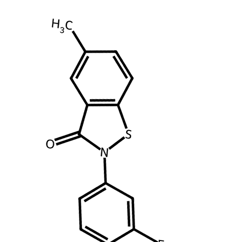 Cc1ccc2sn(-c3cccc(F)c3)c(=O)c2c1